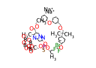 CC(C)(COCc1cccc(Oc2ccccc2)c1)c1ccc(OC(F)(F)Br)cc1.CCOC(=O)c1cn2nc(OP(=S)(OCC)OCC)cc2nc1C.[Na+].[Na+].[O-]B1OB2OB([O-])OB(O1)O2